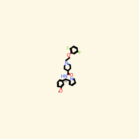 COc1cccc([C@H](NC(=O)C2CCN(CCOc3cc(F)ccc3F)CC2)c2ccccn2)c1